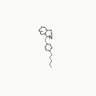 CCCCCc1ccc(Cc2nccc3ccccc23)cc1